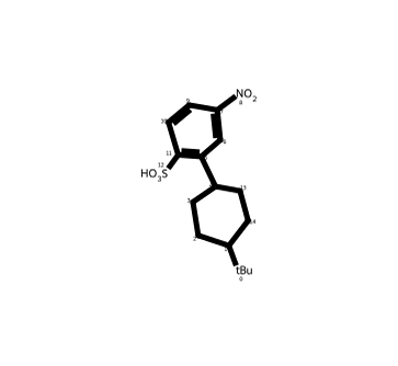 CC(C)(C)C1CCC(c2cc([N+](=O)[O-])ccc2S(=O)(=O)O)CC1